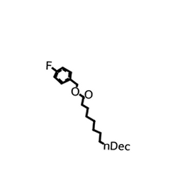 CCCCCCCCCCCCCCCCCC(=O)OCc1ccc(F)cc1